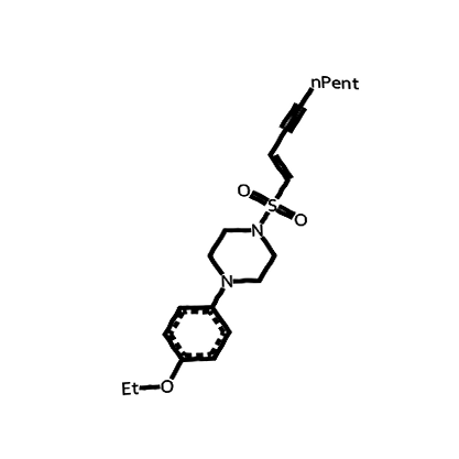 CCCCCC#C/C=C/S(=O)(=O)N1CCN(c2ccc(OCC)cc2)CC1